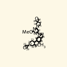 COc1nc(N2CCC3(COC3)C2)cc(-n2ncc3cc(C)c(C4CCN(C5COC5)CC4F)cc32)n1